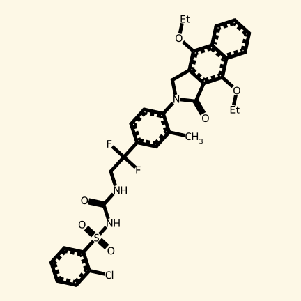 CCOc1c2c(c(OCC)c3ccccc13)C(=O)N(c1ccc(C(F)(F)CNC(=O)NS(=O)(=O)c3ccccc3Cl)cc1C)C2